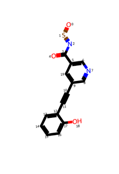 O=S=NC(=O)c1cncc(C#Cc2ccccc2O)c1